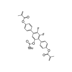 C=C(C)C(=O)Oc1ccc(-c2cc(OC(=O)C(C)(C)C)c(-c3ccc(OC(=O)C(=C)C)cc3)c(F)c2F)cc1